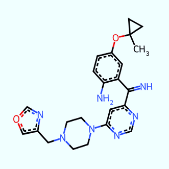 CC1(Oc2ccc(N)c(C(=N)c3cc(N4CCN(Cc5cocn5)CC4)ncn3)c2)CC1